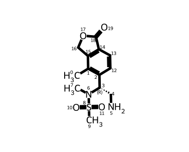 Cc1c([C@H](CN)N(C)S(C)(=O)=O)ccc2c1COC2=O